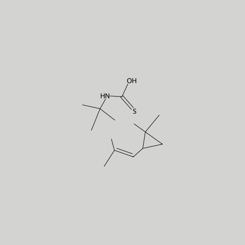 CC(C)(C)NC(O)=S.CC(C)=CC1CC1(C)C